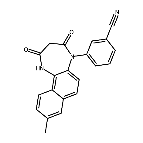 Cc1ccc2c3c(ccc2c1)N(c1cccc(C#N)c1)C(=O)CC(=O)N3